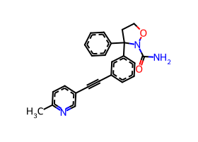 Cc1ccc(C#Cc2cccc(C3(c4ccccc4)CCON3C(N)=O)c2)cn1